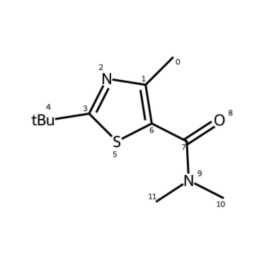 Cc1nc(C(C)(C)C)sc1C(=O)N(C)C